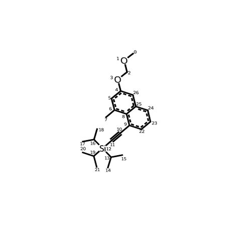 COCOc1cc(C)c2c(C#C[Si](C(C)C)(C(C)C)C(C)C)cccc2c1